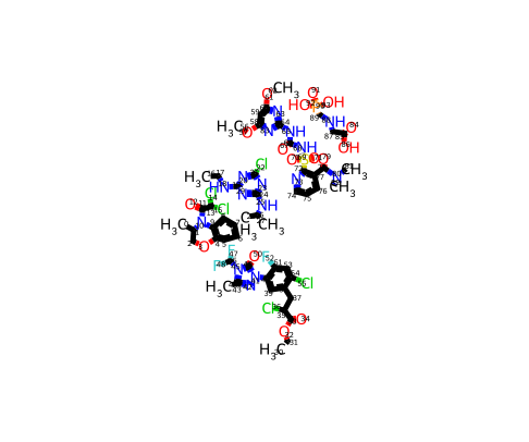 CC1COc2ccccc2N1C(=O)C(Cl)Cl.CCNc1nc(Cl)nc(NC(C)C)n1.CCOC(=O)C(Cl)Cc1cc(-n2nc(C)n(C(F)F)c2=O)c(F)cc1Cl.COc1cc(OC)nc(NC(=O)NS(=O)(=O)c2ncccc2C(=O)N(C)C)n1.O=C(O)CNCP(=O)(O)O